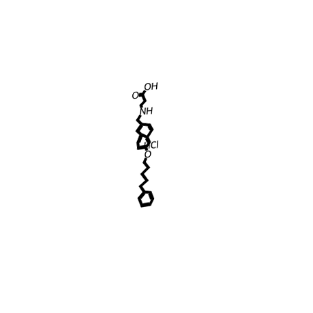 Cl.O=C(O)CCNCc1ccc2cc(OCCCCCc3ccccc3)ccc2c1